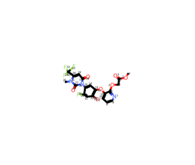 COC(=O)COc1ncccc1Oc1cc(-n2c(=O)cc(C(F)(F)F)n(C)c2=O)c(F)cc1Br